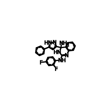 NC1(c2cc(-c3ccccc3)[nH]n2)NC(Nc2ccc(F)cc2F)=Nc2ccccc21